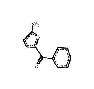 Nc1ccc(C(=O)c2ccccc2)s1